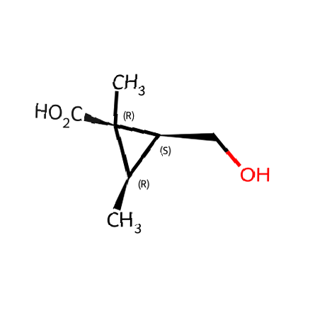 C[C@@H]1[C@H](CO)[C@]1(C)C(=O)O